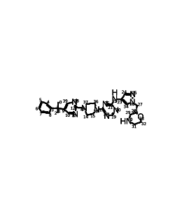 CC(C)(c1ccccc1)c1cnc(N2CCN(c3ncnc(Nc4cnn(C[C@@H]5CNCCO5)c4)n3)CC2)nc1